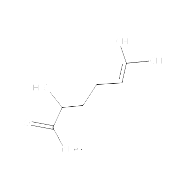 CCCCCCC(=O)C(C)CCC=C(C)C